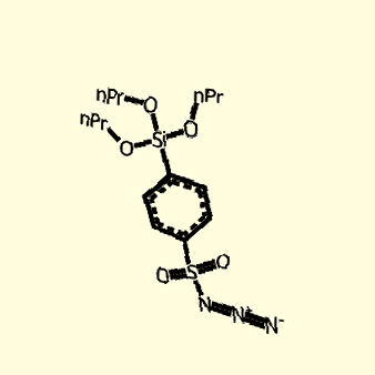 CCCO[Si](OCCC)(OCCC)c1ccc(S(=O)(=O)N=[N+]=[N-])cc1